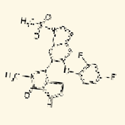 Cn1cc(-c2cc3c(ccn3S(C)(=O)=O)cc2Oc2ccc(F)cc2F)c2cc[nH]c2c1=O